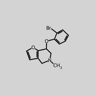 CN1Cc2ccoc2C(Oc2ccccc2Br)C1